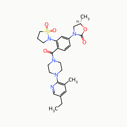 CCc1cnc(N2CCN(C(=O)c3ccc(N4C[C@H](C)OC4=O)cc3N3CCCS3(=O)=O)CC2)c(C)c1